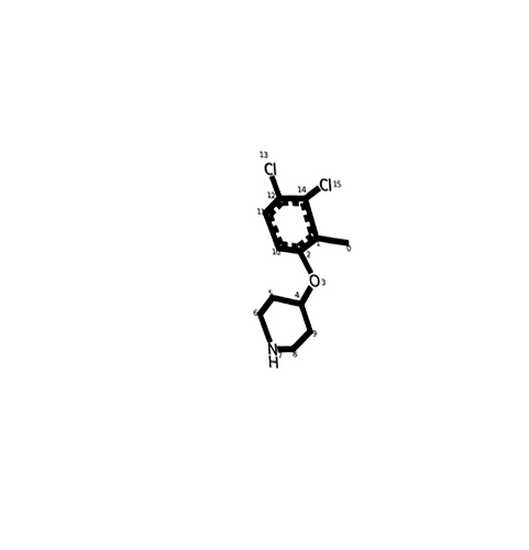 Cc1c(OC2CCNCC2)ccc(Cl)c1Cl